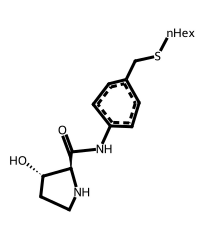 CCCCCCSCc1ccc(NC(=O)[C@H]2NCC[C@@H]2O)cc1